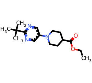 CCOC(=O)C1CCN(c2cnc(C(C)(C)C)nc2)CC1